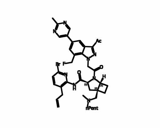 C=CCc1ccc(Br)nc1NC(=O)[C@@H]1C[C@@]2(CN(C)CCCCC)CC[C@H]2N1C(=O)Cn1nc(C(C)=O)c2cc(-c3cnc(C)nc3)cc(CF)c21